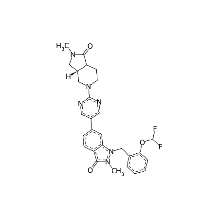 CN1C[C@H]2CN(c3ncc(-c4ccc5c(=O)n(C)n(Cc6ccccc6OC(F)F)c5c4)cn3)CCC2C1=O